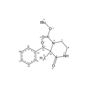 CC(C)(C)OC(=O)N1CCNC(=O)C1(C)[S+]([O-])c1ccccc1